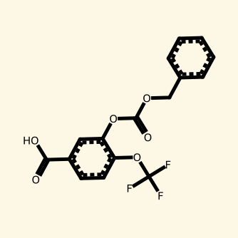 O=C(OCc1ccccc1)Oc1cc(C(=O)O)ccc1OC(F)(F)F